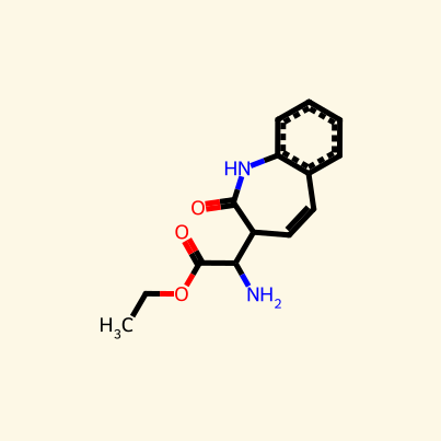 CCOC(=O)C(N)C1C=Cc2ccccc2NC1=O